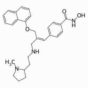 CN1CCCC1CCNC/C(=C/c1ccc(C(=O)NO)cc1)COc1cccc2ccccc12